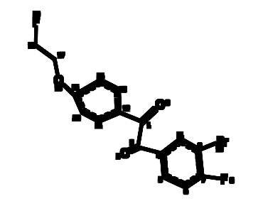 O=C(C(=O)c1ccc(F)c(Br)c1)c1ccc(OCCF)cc1